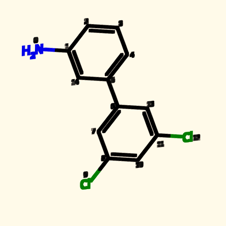 Nc1cccc(-c2cc(Cl)cc(Cl)c2)c1